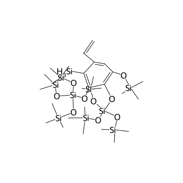 C=Cc1cc(O[Si](C)(C)C)c(O[Si](O[Si](C)(C)C)(O[Si](C)(C)C)O[Si](C)(C)C)c(O[Si](O[Si](C)(C)C)(O[Si](C)(C)C)O[Si](C)(C)C)c1[SiH3]